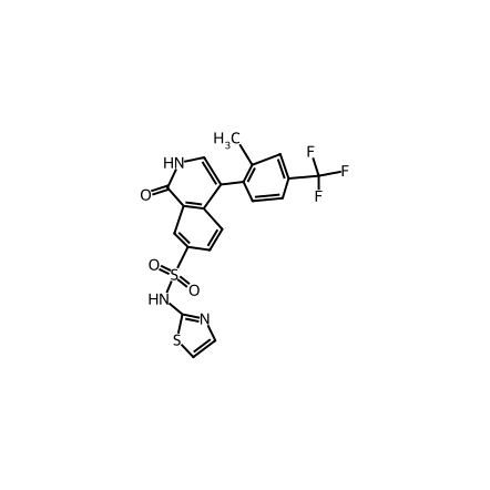 Cc1cc(C(F)(F)F)ccc1-c1c[nH]c(=O)c2cc(S(=O)(=O)Nc3nccs3)ccc12